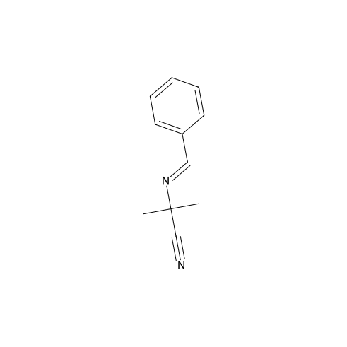 CC(C)(C#N)N=Cc1ccccc1